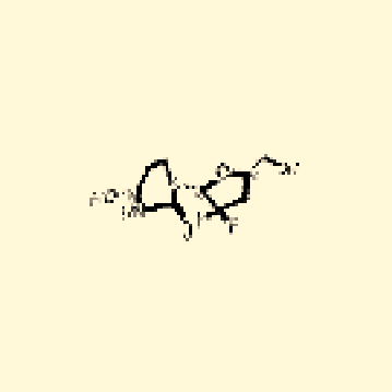 O=C1N[C@H](O)CCN1[C@@H]1O[C@H](CO)CC1(F)F